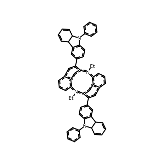 CCn1c2cc3c(cccc3n(CC)c3cc4c(cccc41)cc3-c1ccc3c(c1)C1C=CC=CC1N3c1ccccc1)cc2-c1ccc2c(c1)C1C=CC=CC1N2c1ccccc1